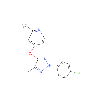 Cc1nn(-c2ccc(F)cc2)nc1Oc1ccnc(C(F)(F)F)c1